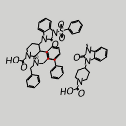 Cn1c(=O)n(C2CCN(C(=O)O)CC2)c2ccccc21.O=C(O)N1CCC(n2c(=O)n(S(=O)(=O)c3ccccc3)c3ccccc32)C(CCCc2ccccc2)[C@H]1N(Cc1ccccc1)Cc1ccccc1